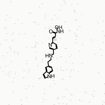 O=C(/C=C/c1ccc(CNCCc2ccc3[nH]ccc3c2)cn1)NO